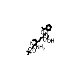 CCc1ccccc1N(CC(=O)O)C(=O)CCCc1ccnc(C(=O)OC(C)(C)C)c1N